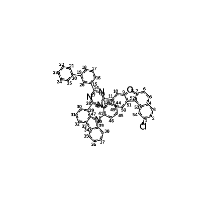 Clc1ccc2ccc3oc4cc(-c5nc(-c6cccc(-c7ccccc7)c6)nc(-c6cccc7c8ccccc8n(-c8ccccc8)c67)n5)ccc4c3c2c1